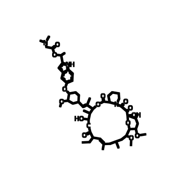 CCC1/C=C(\C)CC(C)CC(OC)C2OC(O)(C(=O)C(=O)N3CCCCC3C(=O)OC(C(C)=CC3CCC(Oc4ccc5[nH]c(C(C)OC(=O)CN(C)C)cc5c4)C(OC)C3)C(C)C(O)CC1=O)C(C)CC2OC